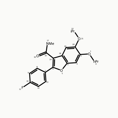 CCCOc1cc2oc(-c3ccc(F)cc3)c(C(=O)NC)c2cc1OC(C)C